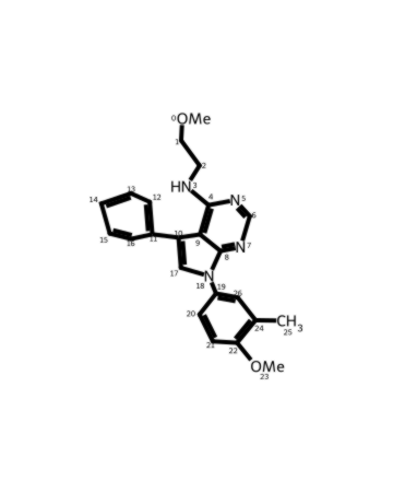 COCCNc1ncnc2c1c(-c1ccccc1)cn2-c1ccc(OC)c(C)c1